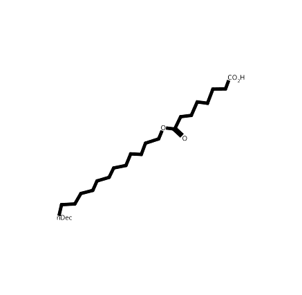 CCCCCCCCCCCCCCCCCCCCCCOC(=O)CCCCCCC(=O)O